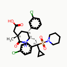 C[C@@]1(CC(=O)O)C[C@H](c2cccc(Cl)c2)[C@H](C[C@@](c2ccc(Cl)cc2)(C2CC2)S(=O)(=O)N2CCCCC2)NC1=O